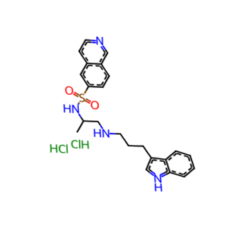 CC(CNCCCc1c[nH]c2ccccc12)NS(=O)(=O)c1ccc2cnccc2c1.Cl.Cl